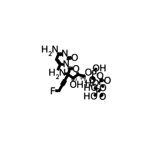 Cc1cc(N)nc(=O)n1[C@@H]1OC([C@@H](C)OP(=O)(O)OP(=O)(O)OP(=O)(O)O)[C@H](O)C1(N)C#CCF